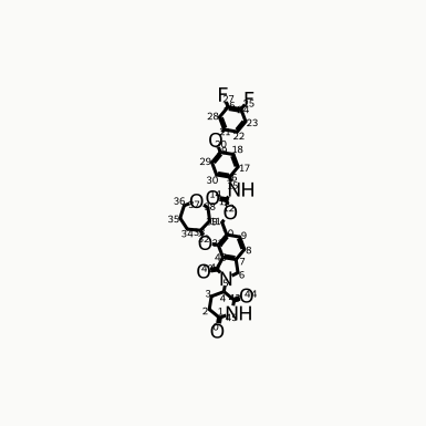 O=C1CCC(N2Cc3ccc(COC(=O)Nc4ccc(Oc5ccc(F)c(F)c5)cc4)c(OC4CCCOCC4)c3C2=O)C(=O)N1